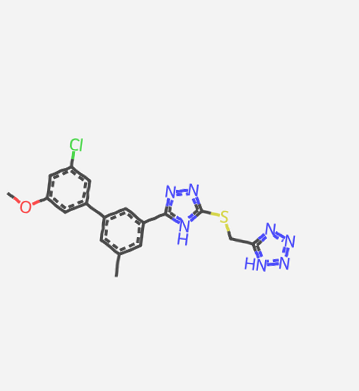 COc1cc(Cl)cc(-c2cc(C)cc(-c3nnc(SCc4nnn[nH]4)[nH]3)c2)c1